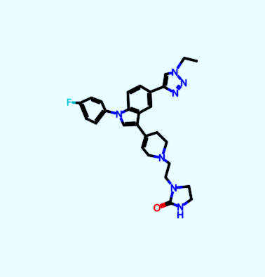 CCn1cc(-c2ccc3c(c2)c(C2=CCN(CCN4CCNC4=O)CC2)cn3-c2ccc(F)cc2)nn1